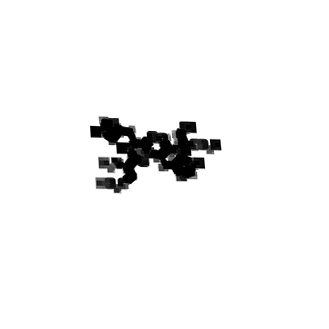 N[C@@H](CC(=O)O)C(=O)N[C@@H](Cc1c[nH]cn1)C(=O)N[C@@H](Cc1c[nH]cn1)C(=O)N[C@@H](CS)C(=O)O